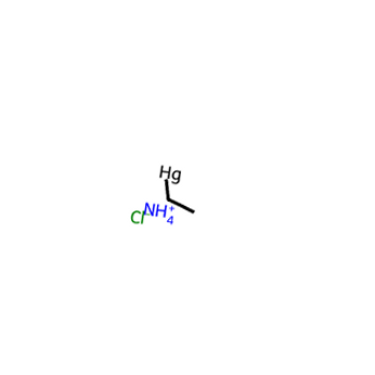 C[CH2][Hg].[Cl-].[NH4+]